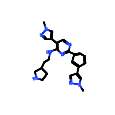 Cn1cc(-c2cccc(-c3ncc(-c4cnn(C)c4)c(NCCC4CCNC4)n3)c2)cn1